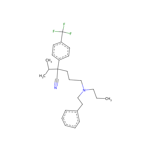 CCCN(CCCC(C#N)(c1ccc(C(F)(F)F)cc1)C(C)C)CCc1ccccc1